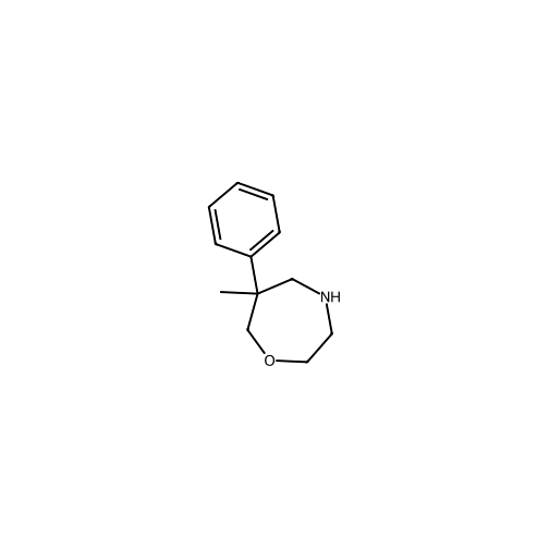 CC1(c2ccccc2)CNCCOC1